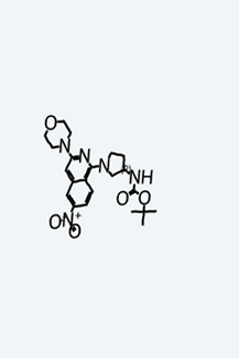 CC(C)(C)OC(=O)N[C@@H]1CCN(c2nc(N3CCOCC3)cc3cc([N+](=O)[O-])ccc23)C1